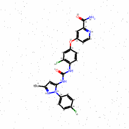 CC(C)(C)c1cc(NC(=O)Nc2ccc(Oc3ccnc(C(N)=O)c3)cc2F)n(-c2ccc(F)cc2)n1